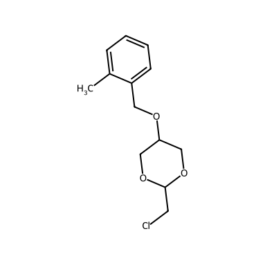 Cc1ccccc1COC1COC(CCl)OC1